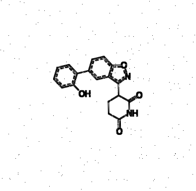 O=C1CCC(c2noc3ccc(-c4ccccc4O)cc23)C(=O)N1